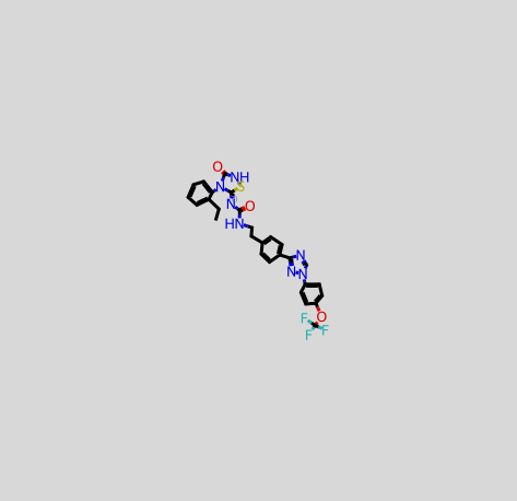 CCc1ccccc1-n1c(=O)[nH]s/c1=N\C(=O)NCCc1ccc(-c2ncn(-c3ccc(OC(F)(F)F)cc3)n2)cc1